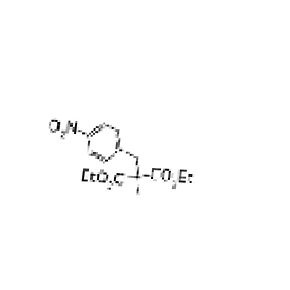 CCOC(=O)C(C)(Cc1ccc([N+](=O)[O-])cc1)C(=O)OCC